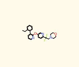 CCc1ccccc1-c1cccnc1Oc1ccc(C(F)(F)CN2CCOCC2)nc1